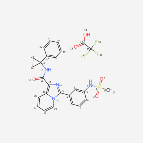 CS(=O)(=O)Nc1cccc(-c2nc(C(=O)NC3(c4ccccc4)CC3)c3ccccn23)c1.O=C(O)C(F)(F)F